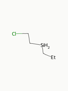 CCC[SiH2]CCCl